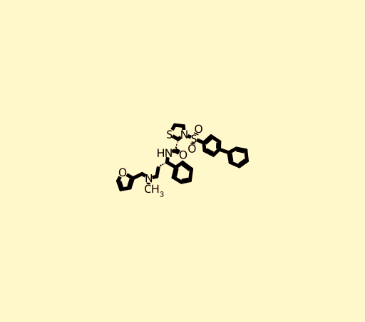 CN(CC[C@H](NC(=O)[C@@H]1SCCN1S(=O)(=O)c1ccc(-c2ccccc2)cc1)c1ccccc1)Cc1ccco1